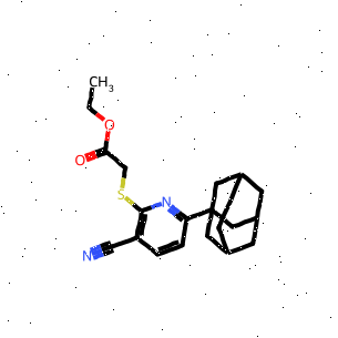 CCOC(=O)CSc1nc(C23CC4CC(CC(C4)C2)C3)ccc1C#N